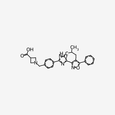 CC(C)Cc1c(-c2nc(-c3ccc(CN4CC(C(=O)O)C4)cc3)no2)noc1-c1ccccc1